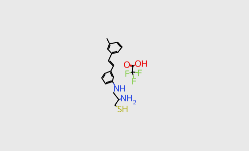 Cc1cccc(/C=C/c2cccc(NC[C@@H](N)CS)c2)c1.O=C(O)C(F)(F)F